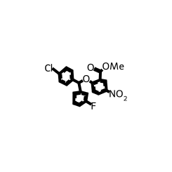 COC(=O)c1cc([N+](=O)[O-])ccc1OC(c1ccc(Cl)cc1)c1cccc(F)c1